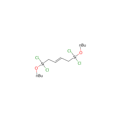 CCCCO[Si](Cl)(Cl)CC=CC[Si](Cl)(Cl)OCCCC